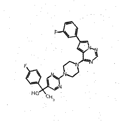 CC(O)(c1ccc(F)cc1)c1cnc(N2CCN(c3ncnn4cc(-c5cccc(F)c5)cc34)CC2)nc1